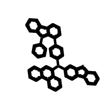 c1ccc(-n2c3ccccc3c3cccc(-c4ccc(N(c5ccc6c(c5)sc5ccccc56)c5cc6ccccc6c6ccccc56)cc4)c32)cc1